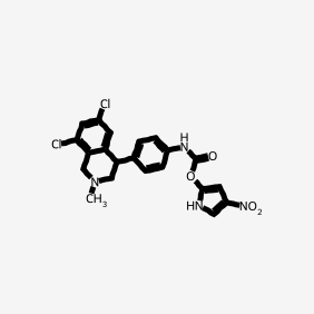 CN1Cc2c(Cl)cc(Cl)cc2C(c2ccc(NC(=O)Oc3cc([N+](=O)[O-])c[nH]3)cc2)C1